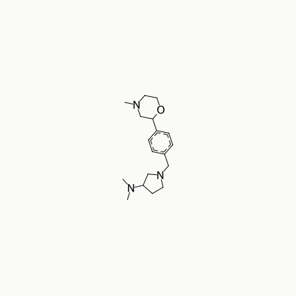 CN1CCOC(c2ccc(CN3CCC(N(C)C)C3)cc2)C1